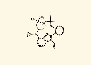 CC(C)(C)OC(=O)N(c1nccn2c(C=O)c(-c3ccccc3OC(F)(F)F)nc12)C1CC1